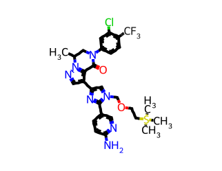 CC1CN(c2ccc(C(F)(F)F)c(Cl)c2)C(=O)c2c(-c3cn(COCCS(C)(C)C)c(-c4ccc(N)nc4)n3)cnn21